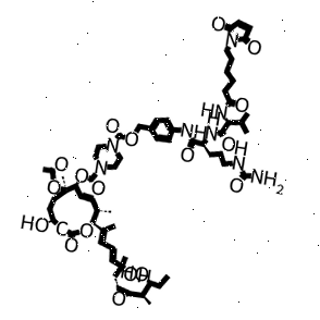 CC[C@H](O)[C@@H](C)[C@H]1O[C@@H]1CC(C)(O)/C=C/C=C(\C)[C@H]1OC(=O)C[C@H](O)CC[C@@](C)(OC(C)=O)[C@@H](OC(=O)N2CCN(C(=O)OCc3ccc(NC(=O)[C@H](CCCNC(N)=O)NC(=O)[C@@H](NC(=O)CCCCCN4C(=O)C=CC4=O)C(C)C)cc3)CC2)/C=C/[C@@H]1C